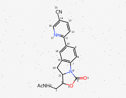 CC(=O)NCC1OC(=O)N2c3ccc(-c4ccc(C#N)cn4)cc3CC12